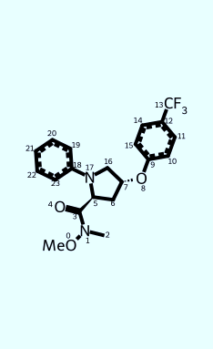 CON(C)C(=O)[C@@H]1C[C@@H](Oc2ccc(C(F)(F)F)cc2)CN1c1ccccc1